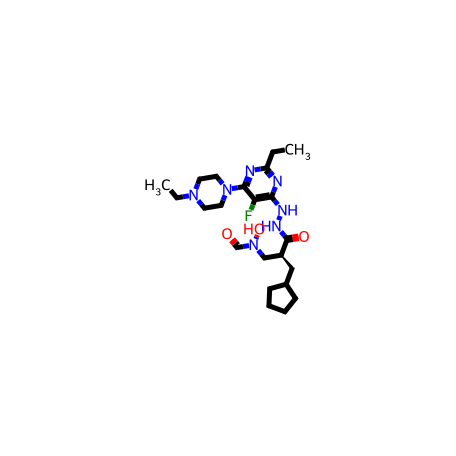 CCc1nc(NNC(=O)[C@@H](CC2CCCC2)CN(O)C=O)c(F)c(N2CCN(CC)CC2)n1